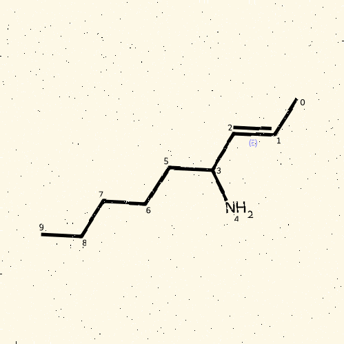 C/C=C/C(N)CCCCC